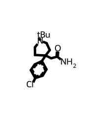 CC(C)(C)N1CCC(CC(N)=O)(c2ccc(Cl)cc2)CC1